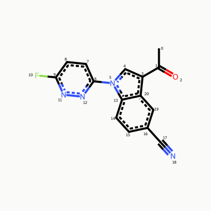 CC(=O)c1cn(-c2ccc(F)nn2)c2ccc(C#N)cc12